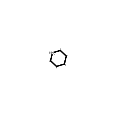 [CH]1CC[CH]NC1